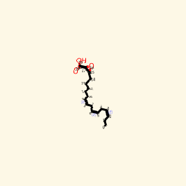 CC/C=C\C/C=C\C/C=C\CCCCCC1OC1C(=O)O